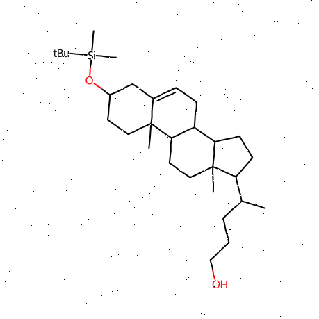 CC(CCCO)C1CCC2C3CC=C4CC(O[Si](C)(C)C(C)(C)C)CCC4(C)C3CCC12C